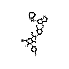 CCn1cc(C(=O)Nc2ccc(Oc3cc(Nc4ccccn4)cn4nccc34)c(F)c2)c(=O)n(-c2ccc(F)cc2)c1=O